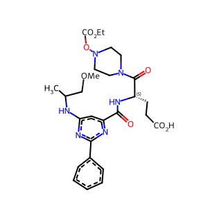 CCOC(=O)ON1CCN(C(=O)[C@H](CCC(=O)O)NC(=O)c2cc(NC(C)COC)nc(-c3ccccc3)n2)CC1